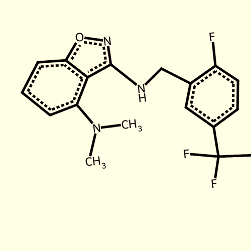 CN(C)c1cccc2onc(NCc3cc(C(F)(F)F)ccc3F)c12